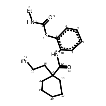 CCNC(=O)Sc1ccccc1NC(=O)C1(CCC(C)C)CCCCC1